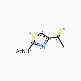 CC(=O)Nc1nc(C(C)=S)cs1